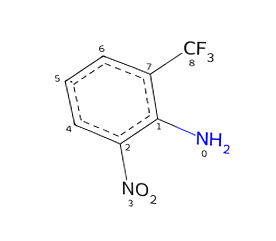 Nc1c([N+](=O)[O-])c[c]cc1C(F)(F)F